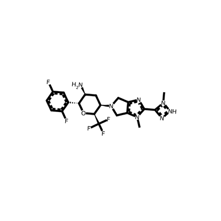 Cn1[nH]nc1-c1nc2c(n1C)CN([C@@H]1C[C@H](N)[C@@H](c3cc(F)ccc3F)O[C@@H]1C(F)(F)F)C2